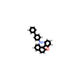 c1ccc(-c2ccc(Nc3cccc4ccc5oc6ccccc6c5c34)cc2)cc1